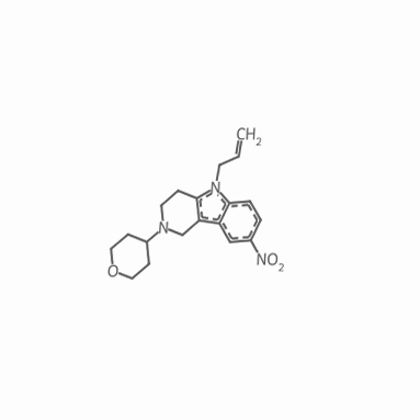 C=CCn1c2c(c3cc([N+](=O)[O-])ccc31)CN(C1CCOCC1)CC2